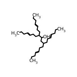 CCCC=CCCC(CCC=CCCC)CC(O)C(CCC=CCCC)CCC=CCCC